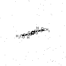 C=CC(=O)OCCNC(=O)OC1CCC(OC(=O)NCCOC(=O)C=C)CC1